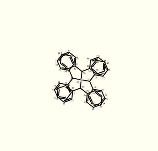 c1ccc(C(c2ccccc2)S(C(c2ccccc2)c2ccccc2)(C(c2ccccc2)c2ccccc2)C(c2ccccc2)c2ccccc2)cc1